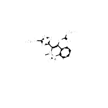 CCCCCCCCCC(=O)OC1=C(c2nnc(CCCCCCCCC)o2)N(C)S(=O)(=O)c2ccccc21